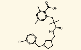 Cc1cc(C)c(C(=O)O)c(CC(C)(C)C(=O)NCC2CCN(Cc3cccc(Cl)c3)C2)c1